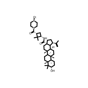 C=C(C)[C@@H]1CC[C@]2(C(=O)N[C@H]3C[C@@H](C(=O)N4CCN(CC)CC4)C3(C)C)CC[C@]3(C)[C@H](CC[C@]4(C)[C@@]5(C)CC[C@H](O)C(C)(C)[C@]5(C)CC[C@]43C)C12